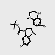 CN1CCN(C(=O)OC(C)(C)C)c2cc(Br)ccc21.CN1CCNc2cc(Br)ccc21